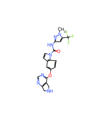 Cn1nc(NC(=O)n2ccc3cc(Oc4ncnc5c4CNC5)ccc32)cc1C(F)(F)F